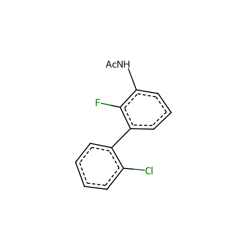 CC(=O)Nc1cccc(-c2ccccc2Cl)c1F